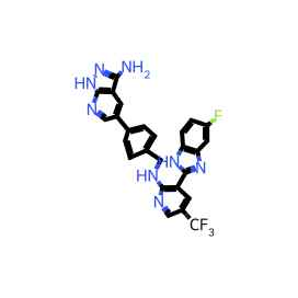 Nc1n[nH]c2ncc(-c3ccc(CNc4ncc(C(F)(F)F)cc4-c4nc5cc(F)ccc5[nH]4)cc3)cc12